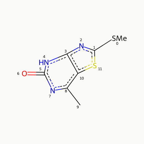 CSc1nc2[nH]c(=O)nc(C)c2s1